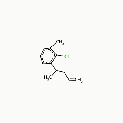 [CH2]C(CC=C)c1cccc(C)c1Cl